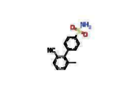 Cc1cccc(C#N)c1-c1ccc(S(N)(=O)=O)cc1